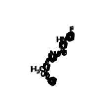 C[C@H]1CN(Cc2ccc(/C=C/C(=O)N3CCC(Nc4cccc(F)c4)CC3)nc2)CCN1C(=O)OCc1ccccc1